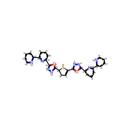 C1=C(c2nnc(-c3cccc(-c4ccccn4)n3)o2)SC(c2nnc(-c3cccc(-c4ccccn4)n3)o2)C1